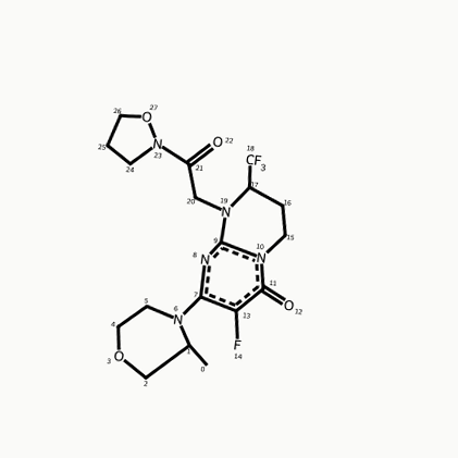 CC1COCCN1c1nc2n(c(=O)c1F)CCC(C(F)(F)F)N2CC(=O)N1CCCO1